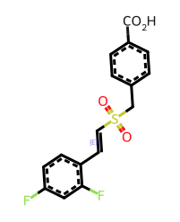 O=C(O)c1ccc(CS(=O)(=O)/C=C/c2ccc(F)cc2F)cc1